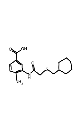 Nc1ccc(C(=O)O)cc1NC(=O)CSCC1CCCCC1